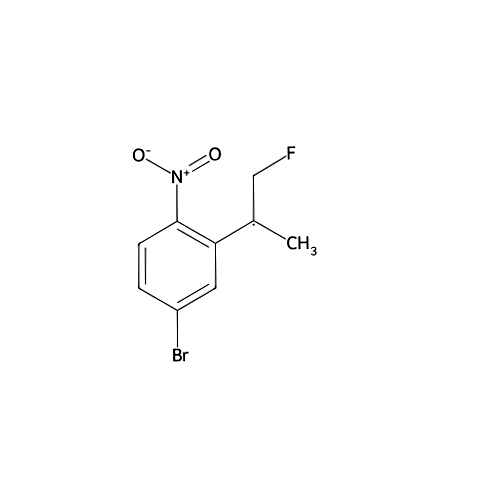 C[C](CF)c1cc(Br)ccc1[N+](=O)[O-]